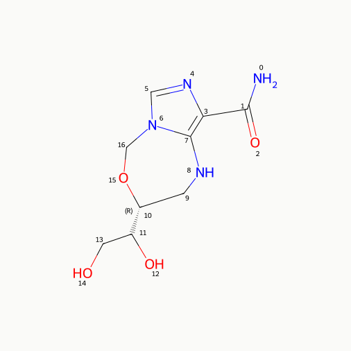 NC(=O)c1ncn2c1NC[C@H](C(O)CO)OC2